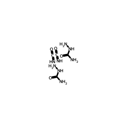 N=C=O.N=C=O.NNC(N)=O.NNC(N)=O